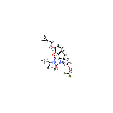 CC(C)N1C(=O)NC2(C1=O)c1cc(OCC3CC3)ccc1CC21CCC(OC(F)F)CC1